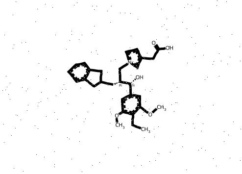 CCc1c(OC)cc([C@@H](O)[C@H](CC2Cc3ccccc3C2)Cn2ccc(CC(=O)O)c2)cc1OC